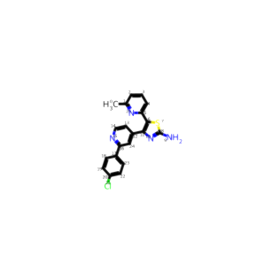 Cc1cccc(-c2sc(N)nc2-c2ccnc(-c3ccc(Cl)cc3)c2)n1